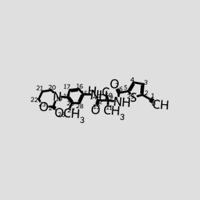 C#Cc1ccc(C(=O)NC(C)(C)C(=O)Nc2ccc(N3CCCOC3=O)c(C)c2)s1